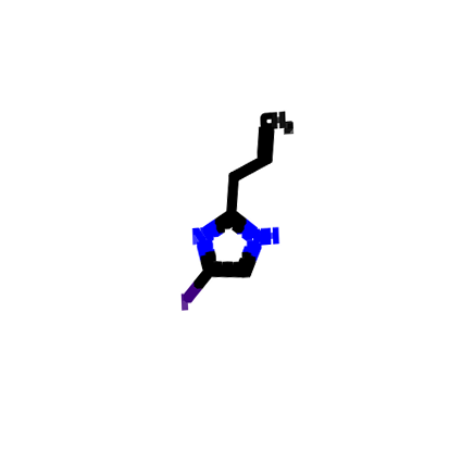 C=CCc1nc(I)c[nH]1